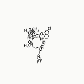 CN1CC/C=C/[C@H](OCCCN2CC(F)(F)C2)[C@@H]2CC[C@H]2CN2C[C@@]3(CCCc4cc(Cl)ccc43)COc3ccc(cc32)[C@@](O)(C(=O)NS(=O)(=O)N(C)C)CC1=O